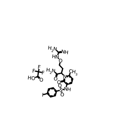 Cc1ccc(NS(=O)(=O)c2ccc(I)cc2)c(=O)n1C(CCONC(=N)N)C(N)=O.O=C(O)C(F)(F)F